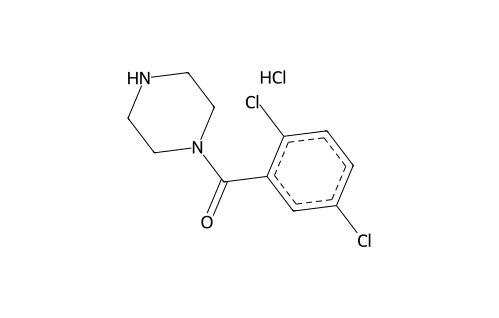 Cl.O=C(c1cc(Cl)ccc1Cl)N1CCNCC1